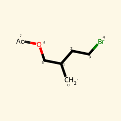 [CH2]C(CCBr)COC(C)=O